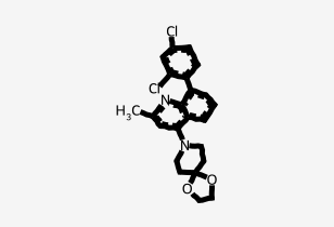 Cc1cc(N2CCC3(CC2)OCCO3)c2cccc(-c3ccc(Cl)cc3Cl)c2n1